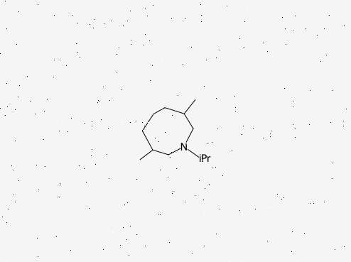 CC1CCCC(C)CN(C(C)C)C1